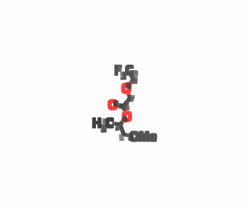 COCC(C)OC(=O)COCC(F)(F)F